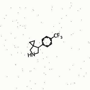 FC(F)(F)c1ccc(C2CNCC23CC3)cc1